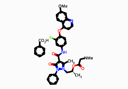 CNCC(=O)O[C@H](C)Cn1c(C)c(C(=O)Nc2ccc(Oc3ccnc4cc(OC)ccc34)c(F)c2)c(=O)n1-c1ccccc1.O=C(O)c1ccccc1